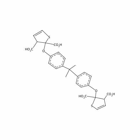 CC(C)(c1ccc(OC2(C(=O)O)SC=CC2C(=O)O)cc1)c1ccc(OC2(C(=O)O)SC=CC2C(=O)O)cc1